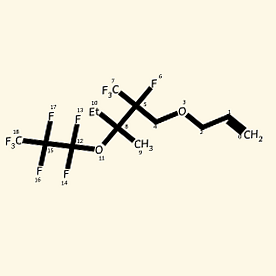 C=CCOCC(F)(C(F)(F)F)C(C)(CC)OC(F)(F)C(F)(F)C(F)(F)F